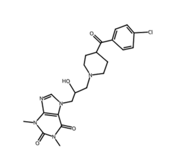 Cn1c(=O)c2c(ncn2CC(O)CN2CCC(C(=O)c3ccc(Cl)cc3)CC2)n(C)c1=O